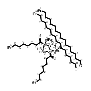 CC(C)CCCCCCCCCCCCCCC[O-].CC(C)CCCCCCCCCCCCCCC[O-].CCC[CH2][Sn+2][CH2]CCC.CCC[CH2][Sn]([CH2]CCC)([O][Sn]([CH2]CCC)([CH2]CCC)[C](=O)CCCCCCC(C)C)[C](=O)CCCCCCC(C)C